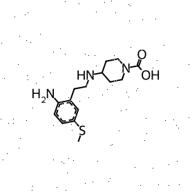 CSc1ccc(N)c(CCNC2CCN(C(=O)O)CC2)c1